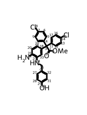 COC(=O)C(c1ccc(Cl)cc1)(c1ccc(Cl)cc1)c1ccc(N)c(NCc2ccc(O)cc2)c1